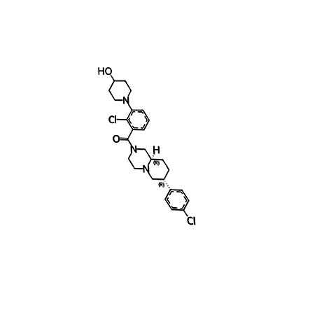 O=C(c1cccc(N2CCC(O)CC2)c1Cl)N1CCN2C[C@@H](c3ccc(Cl)cc3)CC[C@@H]2C1